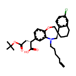 C=CCCCCN1C[C@@]2(CCCc3cc(Cl)ccc32)COc2ccc([C@@H](CC(=O)OC(C)(C)C)C(=O)O)cc21